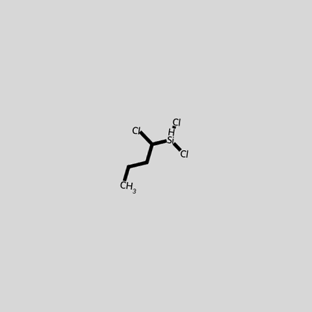 CCCC(Cl)[SiH](Cl)Cl